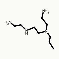 CCCN(CCN)CCNCCN